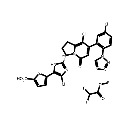 O=C(O)c1ccc(-c2[nH]c([C@@H]3CCc4c(Cl)c(-c5cc(Cl)ccc5-n5cnnn5)cc(=O)n43)nc2Cl)s1.O=C(OF)C(F)F